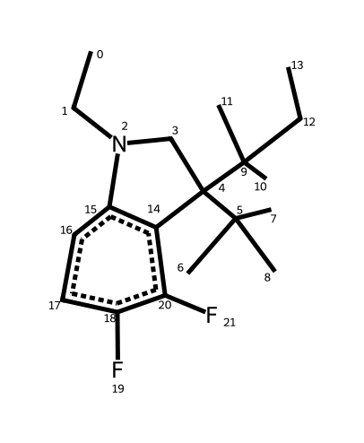 CCN1CC(C(C)(C)C)(C(C)(C)CC)c2c1ccc(F)c2F